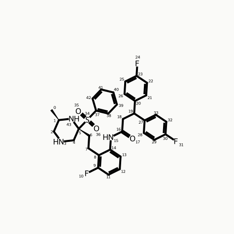 C[C@@H]1CNC[C@@](CCc2c(F)cccc2NC(=O)CC(c2ccc(F)cc2)c2ccc(F)cc2)(S(=O)(=O)c2ccccc2)N1